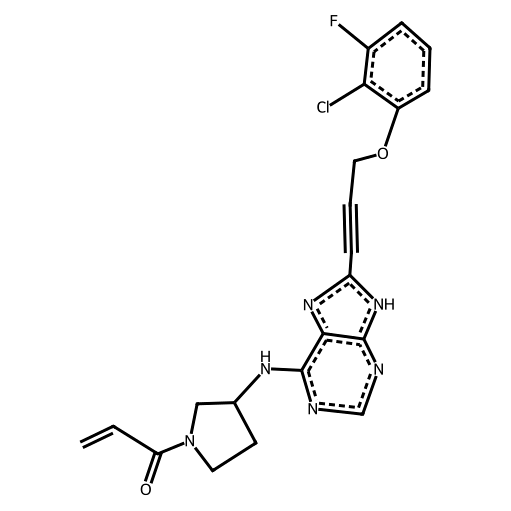 C=CC(=O)N1CCC(Nc2ncnc3[nH]c(C#CCOc4cccc(F)c4Cl)nc23)C1